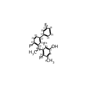 Cc1cc(O)c(F)c(N(C)c2cc(-c3cccc(F)c3)ccc2F)c1F